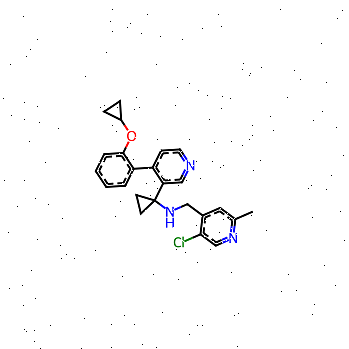 Cc1cc(CNC2(c3cnccc3-c3ccccc3OC3CC3)CC2)c(Cl)cn1